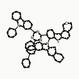 c1ccc(-c2ccc(-c3nc(-c4ccc5c6ccccc6n(-c6ccccc6)c5c4)nc(-c4ccc5c(sc6ccc7ccccc7c65)c4-n4c5cc6ccccc6cc5c5cc6ccccc6cc54)n3)cc2)cc1